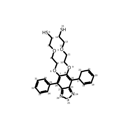 SCCOCCOc1c(OCCOCCS)c(C2C=CC=CC2)c2nsnc2c1-c1ccccc1